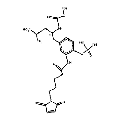 CC(C[C@H](Cc1ccc(OP(=O)(O)O)c(NC(=O)CCCCN2C(=O)C=CC2=O)c1)NC(=O)OC(C)(C)C)C(=O)O